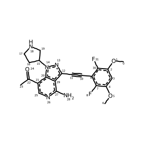 COc1cc(OC)c(F)c(C#Cc2nn(C3CCNC3)c3c(C(C)=O)cnc(N)c23)c1F